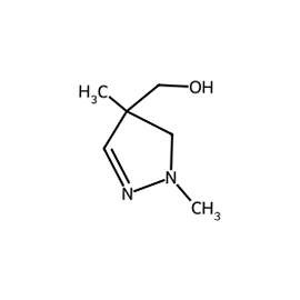 CN1CC(C)(CO)C=N1